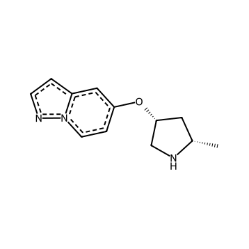 C[C@H]1C[C@@H](Oc2ccn3nccc3c2)CN1